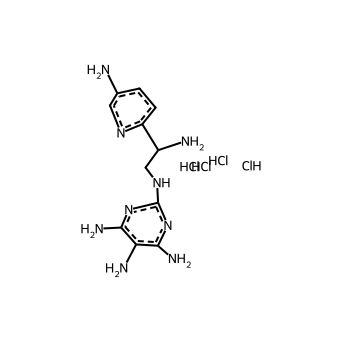 Cl.Cl.Cl.Cl.Nc1ccc(C(N)CNc2nc(N)c(N)c(N)n2)nc1